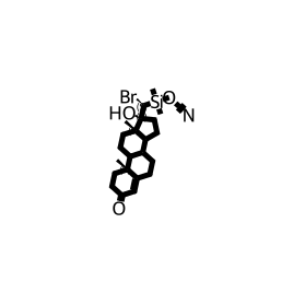 C[C@]12CCC(=O)C=C1CCC1C2CC[C@@]2(C)C1CC[C@]2(O)[C@H](Br)[Si](C)(C)OC#N